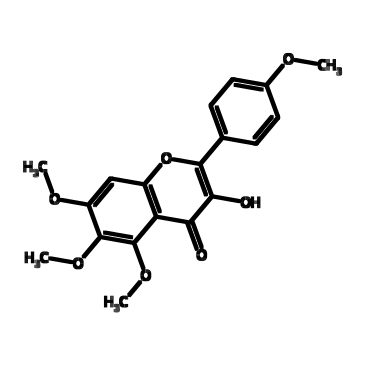 COc1ccc(-c2oc3cc(OC)c(OC)c(OC)c3c(=O)c2O)cc1